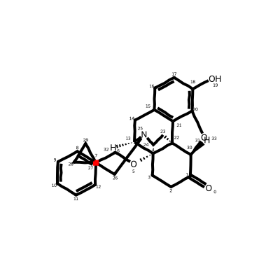 O=C1CC[C@@]2(OCc3ccccc3)[C@H]3Cc4ccc(O)c5c4[C@@]2(CCN3CC2CC2)[C@@H]1O5